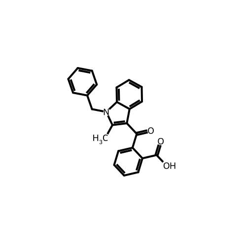 Cc1c(C(=O)c2ccccc2C(=O)O)c2ccccc2n1Cc1ccccc1